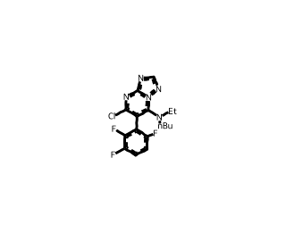 CCCCN(CC)c1c(-c2c(F)ccc(F)c2F)c(Cl)nc2ncnn12